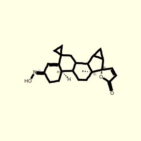 C[C@]12CCC3C(CC4(CC4)C4=C/C(=N/O)CC[C@@H]43)C1C1CC1[C@@]21C=CC(=O)O1